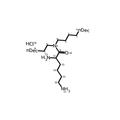 CCCCCCCCCCCCCCN(CCCCCCCCCCCC)C(=O)C(N)CCCCN.Cl